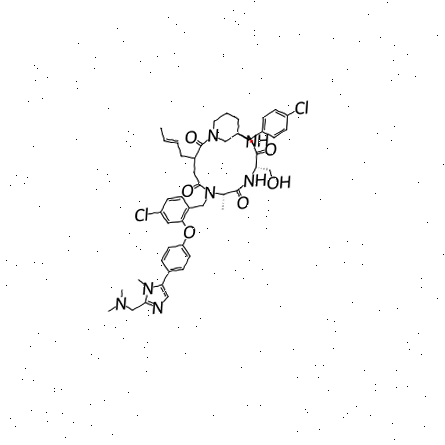 C/C=C/CC1CC(=O)N(Cc2ccc(Cl)cc2Oc2ccc(-c3cnc(CN(C)C)n3C)cc2)[C@@H](C)C(=O)N[C@@H](CO)C(=O)N[C@@]2(Cc3ccc(Cl)cc3)CCCN(C2)C1=O